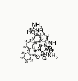 NC(=O)NCc1ccc2c(c1)[C@]1(C(=O)N2)[C@H](C(N)=O)[C@H]2C(=O)O[C@H](c3ccccc3)[C@H](c3ccccc3)N2[C@@H]1c1ccc(O)cc1